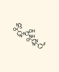 O=C(NC1CN(c2cc(C(=O)c3nccs3)ccn2)C[C@@H]1O)c1cnc(-c2cccc(F)c2)nc1